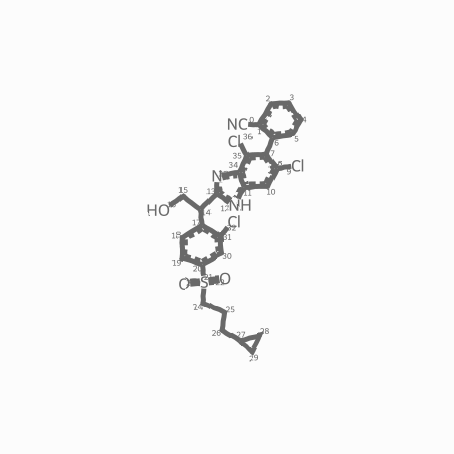 N#Cc1ccccc1-c1c(Cl)cc2[nH]c(C(CO)c3ccc(S(=O)(=O)CCCC4CC4)cc3Cl)nc2c1Cl